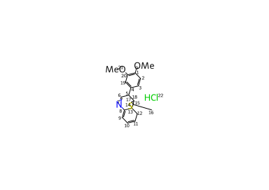 COc1ccc(C2C=NC3=CC=CCC34SC(C)CC24)cc1OC.Cl